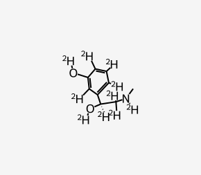 [2H]Oc1c([2H])c([2H])c([2H])c([C@]([2H])(O[2H])C([2H])([2H])N([2H])C)c1[2H]